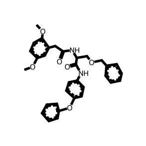 COc1ccc(OC)c(CC(=O)NC(COCc2ccccc2)C(=O)Nc2ccc(Oc3ccccc3)cc2)c1